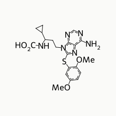 COc1ccc(OC)c(Sc2nc3c(N)ncnc3n2CCC(NC(=O)O)C2CC2)c1